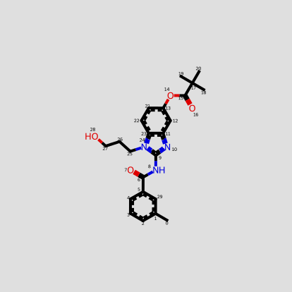 Cc1cccc(C(=O)Nc2nc3cc(OC(=O)C(C)(C)C)ccc3n2CCCO)c1